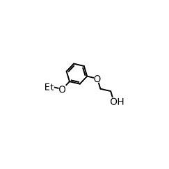 CCOc1cccc(OCCO)c1